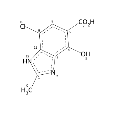 Cc1nc2c(O)c(C(=O)O)cc(Cl)c2[nH]1